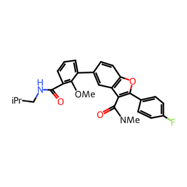 CNC(=O)c1c(-c2ccc(F)cc2)oc2ccc(-c3cccc(C(=O)NCC(C)C)c3OC)cc12